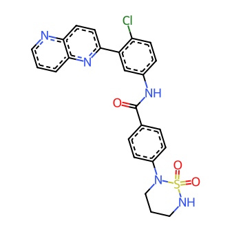 O=C(Nc1ccc(Cl)c(-c2ccc3ncccc3n2)c1)c1ccc(N2CCCNS2(=O)=O)cc1